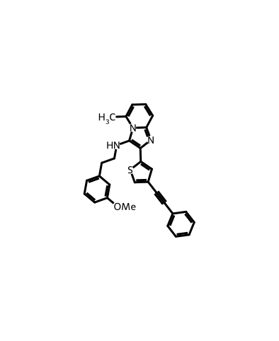 COc1cccc(CCNc2c(-c3cc(C#Cc4ccccc4)cs3)nc3cccc(C)n23)c1